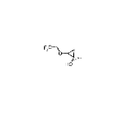 C[C@@]1(O)CC1OCC(F)(F)F